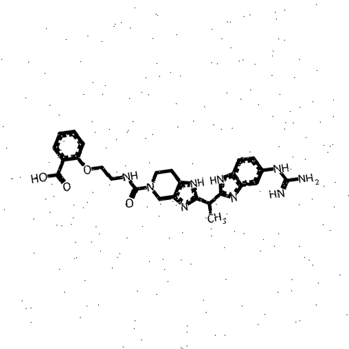 CC(c1nc2c([nH]1)CCN(C(=O)NCCOc1ccccc1C(=O)O)C2)c1nc2cc(NC(=N)N)ccc2[nH]1